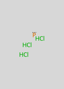 Cl.Cl.Cl.[P]